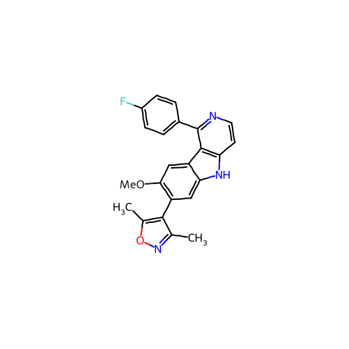 COc1cc2c(cc1-c1c(C)noc1C)[nH]c1ccnc(-c3ccc(F)cc3)c12